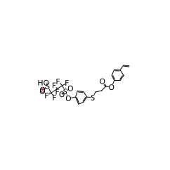 C=Cc1ccc(OC(=O)CCSc2ccc(OS(=O)(=O)C(F)(F)C(F)(F)C(F)(F)S(=O)(=O)O)cc2)cc1